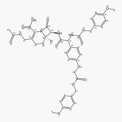 COc1ccc(COC(=O)COc2ccc(C(NC(=O)OCc3ccc(OC)cc3)C(=O)N[C@@H]3C(=O)N4C(C(=O)O)=C(COC(C)=O)CS[C@H]34)cc2)cc1